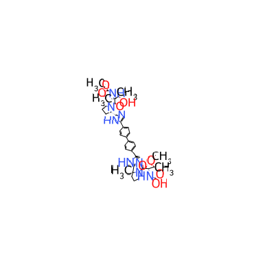 COC(=O)N[C@](C)(C(=O)N1CCC[C@H]1c1ncc(-c2ccc(-c3ccc(-c4cnc([C@]5(C)CCCN5C(=O)[C@@H](NC(=O)O)[C@@H](C)OC)[nH]4)cc3)cc2)[nH]1)[C@@H](C)O